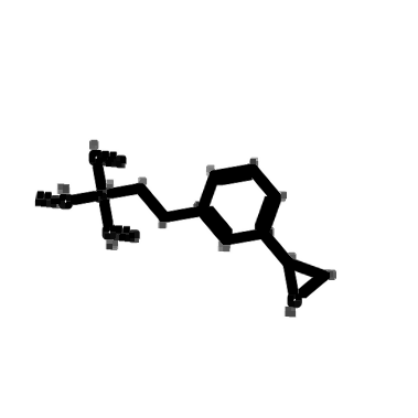 CO[Si](CCc1cccc(C2CO2)c1)(OC)OC